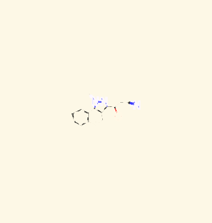 Cn1nc(C(=O)CC#N)c2c1-c1ccccc1SC2